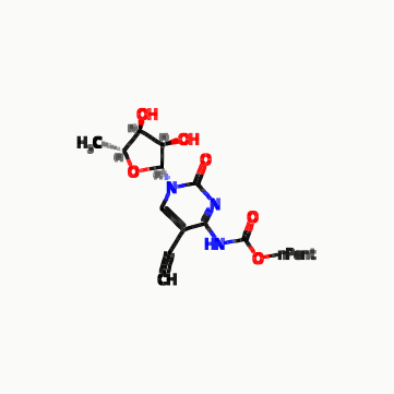 C#Cc1cn([C@@H]2O[C@H](C)[C@@H](O)[C@H]2O)c(=O)nc1NC(=O)OCCCCC